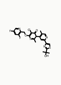 CC1=NC(OCc2ncc(F)cc2F)=C(Cl)C(=O)C1c1cc(-c2csc(C(C)(C)O)n2)ncc1C